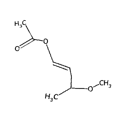 COC(C)C=COC(C)=O